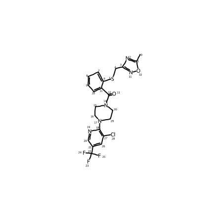 Cc1nc(CSc2ccccc2C(=O)N2CCN(c3ncc(C(F)(F)F)cc3Cl)CC2)no1